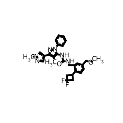 COCc1ccc(C2CC(F)(F)C2)c(CNC(=O)Nc2c(C)c(-c3cnn(C)c3)nn2-c2ccccc2)c1